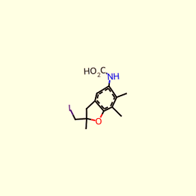 Cc1c(NC(=O)O)cc2c(c1C)OC(C)(CI)C2